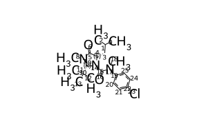 CC(C)C[C@H]1C(=O)N(C)[C@@H](C(C)(C)C)N1C(=O)N(C)c1ccc(Cl)cc1